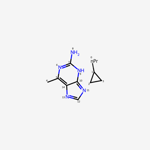 CCCC1CC1.Cc1nc(N)[nH]c2ncnc1-2